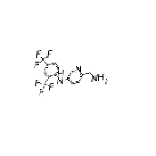 NCc1ccc(Nc2ccc(C(F)(F)F)cc2C(F)(F)F)cn1